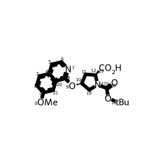 COc1ccc2ccnc(O[C@@H]3C[C@@H](C(=O)O)N(C(=O)OC(C)(C)C)C3)c2c1